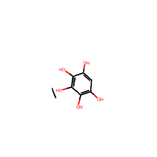 CC.Oc1cc(O)c(O)c(O)c1O